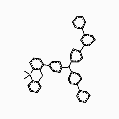 C[Si]1(C)c2ccccc2Sc2c(-c3ccc(N(c4ccc(-c5ccccc5)cc4)c4ccc(-c5cccc(-c6ccccc6)c5)cc4)cc3)cccc21